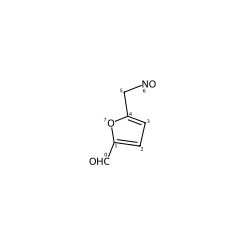 O=Cc1ccc(CN=O)o1